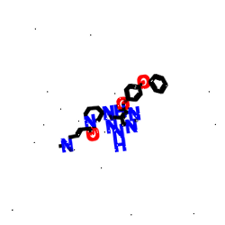 CN(C)CC=CC(=O)N1CCCC(Nc2n[nH]c3ncnc(Oc4ccc(Oc5ccccc5)cc4)c23)C1